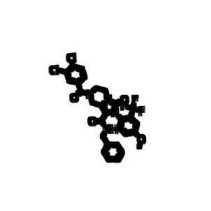 COc1ccc(-n2c(C(=O)NCc3ccccc3)c3n(c2=O)CCN(C(=O)c2ccc(Cl)c(Cl)c2)C3)c(C(F)(F)F)c1